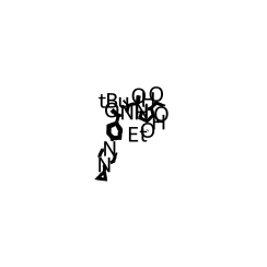 CCO[C@H]1CN(C(=O)[C@@H](NC(=O)c2ccc(N3CCN(C4CC4)CC3)cc2)C(C)(C)C)[C@@H]2C(=O)CO[C@H]12